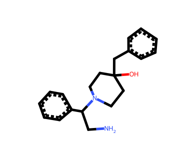 NCC(c1ccccc1)N1CCC(O)(Cc2ccccc2)CC1